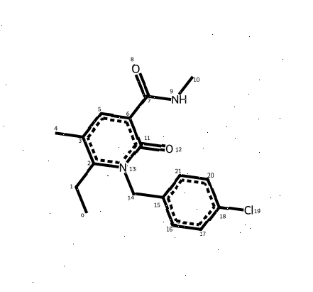 CCc1c(C)cc(C(=O)NC)c(=O)n1Cc1ccc(Cl)cc1